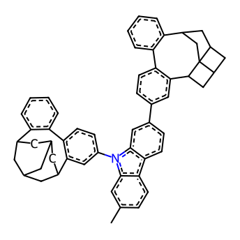 Cc1ccc2c3ccc(-c4ccc5c(c4)C4CC6CC7CC(CC764)c4ccccc4-5)cc3n(-c3ccc4c(c3)C3CC5CC(CC(C5)c5ccccc5-4)C3)c2c1